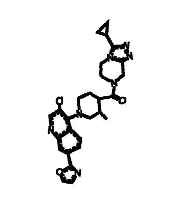 CC1CN(c2c(Cl)cnc3cc(-c4ncco4)ccc23)CCC1C(=O)N1CCn2c(nnc2C2CC2)C1